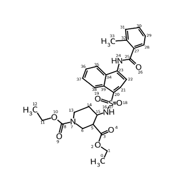 CCOC(=O)C1CN(C(=O)OCC)CCC1NS(=O)(=O)c1ccc(NC(=O)c2ccccc2C)c2ccccc12